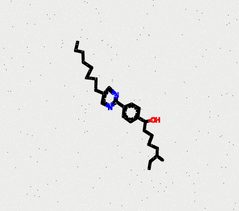 CCCCCCCCc1cnc(-c2ccc(C(O)CCCCC(C)CC)cc2)nc1